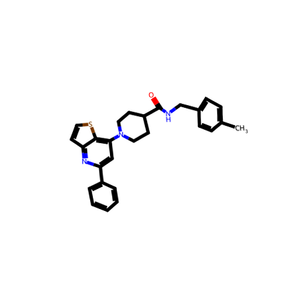 Cc1ccc(CNC(=O)C2CCN(c3cc(-c4ccccc4)nc4ccsc34)CC2)cc1